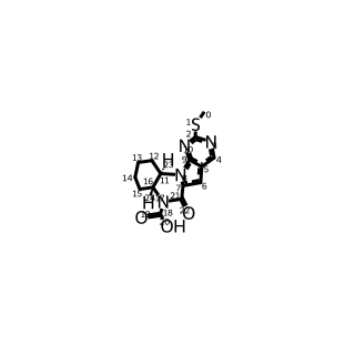 CSc1ncc2cc3n(c2n1)[C@@H]1CCCC[C@H]1N(C(=O)O)C3=O